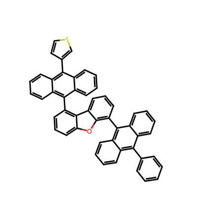 c1ccc(-c2c3ccccc3c(-c3cccc4c3oc3cccc(-c5c6ccccc6c(-c6ccsc6)c6ccccc56)c34)c3ccccc23)cc1